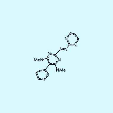 CNc1nc(N=Nc2ncccn2)nc(NC)c1-c1ccccc1